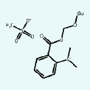 C[S+](C)c1ccccc1C(=O)OCOC(C)(C)C.O=S(=O)([O-])C(F)(F)F